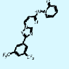 O=C(/C=C\n1cnc(-c2cc(C(F)(F)F)cc(C(F)(F)F)c2)n1)Nn1ccccc1=O